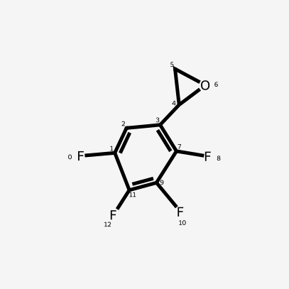 Fc1cc(C2CO2)c(F)c(F)c1F